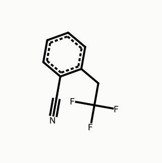 N#Cc1ccccc1CC(F)(F)F